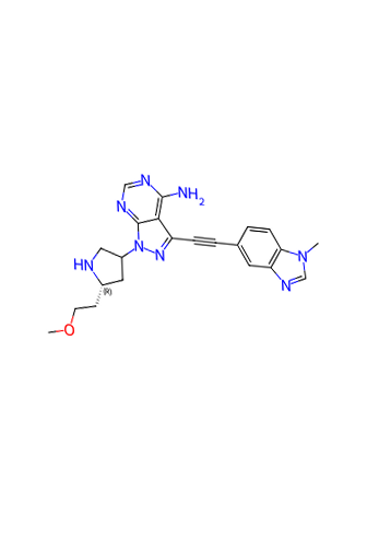 COCC[C@H]1CC(n2nc(C#Cc3ccc4c(c3)ncn4C)c3c(N)ncnc32)CN1